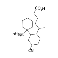 CCCCCCCC1(C2CC(C#N)CCC2C(C)CCCC(=O)O)CCCCC1